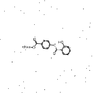 CCCCCCOC(=O)c1ccc(OC(=O)c2ccccc2O)cc1